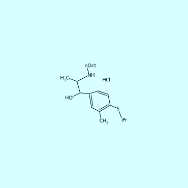 CCCCCCCCNC(C)C(O)c1ccc(SC(C)C)c(C)c1.Cl